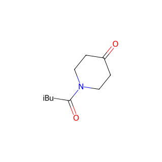 CCC(C)C(=O)N1CCC(=O)CC1